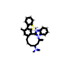 C=C1CC([N+](=C)C)CCCc2cc(C)c3c(sc4ccccc43)c2-c2n(C)c3ccccc3[n+]21